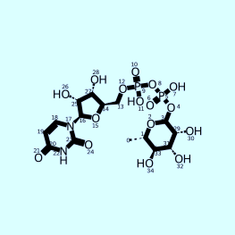 C[C@@H]1OC(OP(=O)(O)OP(=O)(O)OC[C@H]2O[C@@H](n3ccc(=O)[nH]c3=O)[C@H](O)[C@@H]2O)[C@H](O)[C@H](O)[C@H]1O